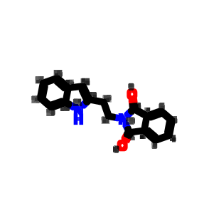 O=C1c2ccccc2C(=O)N1CCc1cc2ccccc2[nH]1